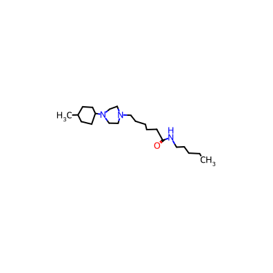 CCCCCNC(=O)CCCCCN1CCN(C2CCC(C)CC2)CC1